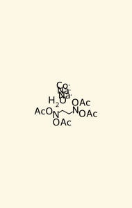 CC(=O)ON(CCN(OC(C)=O)OC(C)=O)OC(C)=O.O.[Co].[Na].[Na]